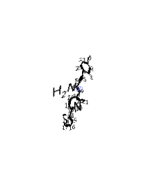 Cc1ccc(C#C/C(N)=C/c2ccc(-c3cccs3)nc2C)cc1